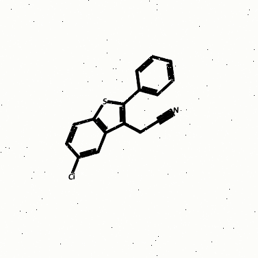 N#CCc1c(-c2ccccc2)sc2ccc(Cl)cc12